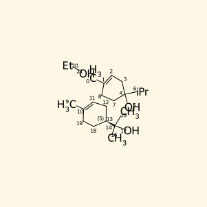 CC1=CCC(O)(C(C)C)CC1.CC1=CC[C@@H](C(C)(C)O)CC1.CCO